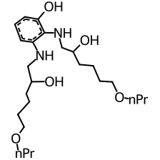 CCCOCCCCC(O)CNc1cccc(O)c1NCC(O)CCCCOCCC